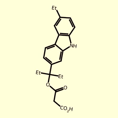 CCc1ccc2[nH]c3cc(C(CC)(CC)OC(=O)CC(=O)O)ccc3c2c1